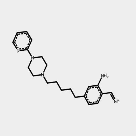 N=Cc1ccc(CCCCCN2CCN(c3ccccn3)CC2)cc1N